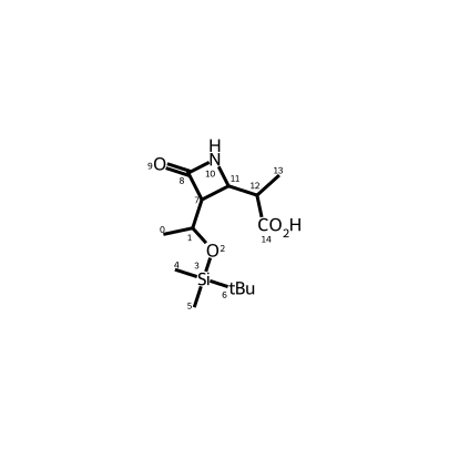 CC(O[Si](C)(C)C(C)(C)C)C1C(=O)NC1C(C)C(=O)O